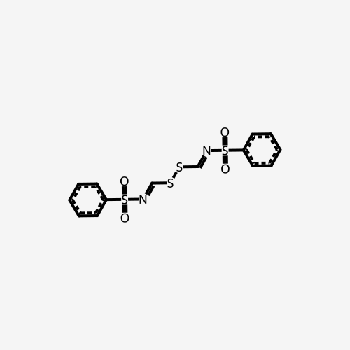 O=S(=O)(N=CSSC=NS(=O)(=O)c1ccccc1)c1ccccc1